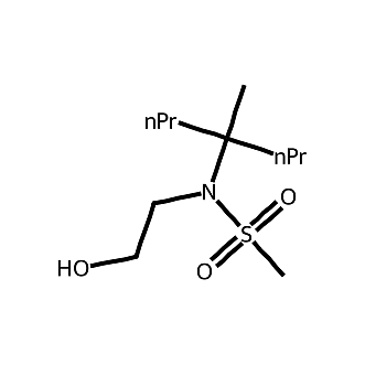 CCCC(C)(CCC)N(CCO)S(C)(=O)=O